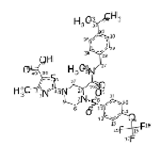 Cc1nc(N2CCN(S(=O)(=O)c3ccc(OC(F)(F)F)cc3)C(C(=O)N(C)Cc3ccc(C(C)C)cc3)C2)sc1C(=O)O